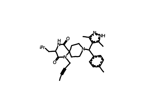 CC#CCN1C(=O)C(CC(C)C)NC(=O)C12CCN(C(c1ccc(C)cc1)c1c(C)n[nH]c1C)CC2